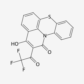 O=C(c1c(O)c2cccc3c2n(c1=O)-c1ccccc1S3)C(F)(F)F